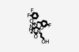 CN1C(=O)N(CCCO)C(=O)C2[C@H]1N=C(Oc1cccc(F)c1F)N2Cc1ccc(F)cc1